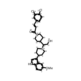 COc1ccc2[nH]cc(C3CCN(C(CO)C4CCN(C(=O)C=Cc5ccc(Cl)c(Cl)c5)CC4)CC3)c2c1